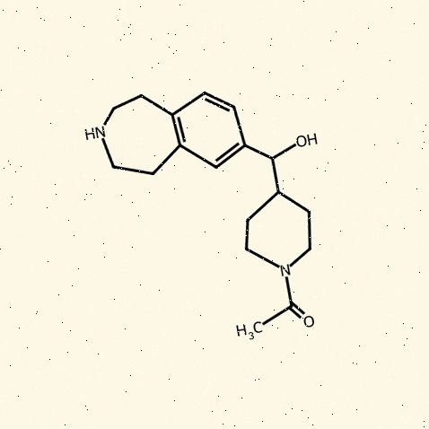 CC(=O)N1CCC(C(O)c2ccc3c(c2)CCNCC3)CC1